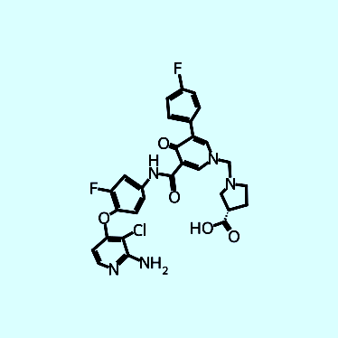 Nc1nccc(Oc2ccc(NC(=O)c3cn(CN4CC[C@H](C(=O)O)C4)cc(-c4ccc(F)cc4)c3=O)cc2F)c1Cl